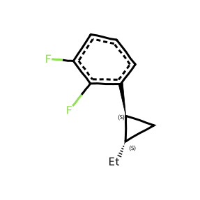 CC[C@H]1C[C@@H]1c1cccc(F)c1F